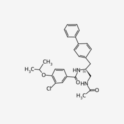 CC(=O)NC[C@H](Cc1ccc(-c2ccccc2)cc1)NC(=O)c1ccc(OC(C)C)c(Cl)c1